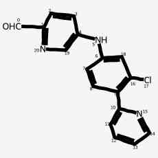 O=Cc1ccc(Nc2ccc(-c3ccccn3)c(Cl)c2)cn1